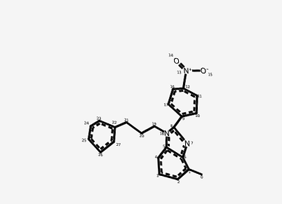 Cc1cccc2c1nc(-c1ccc([N+](=O)[O-])cc1)n2CCCc1ccccc1